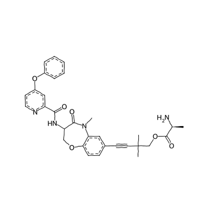 C[C@H](N)C(=O)OCC(C)(C)C#Cc1ccc2c(c1)N(C)C(=O)C(NC(=O)c1cc(Oc3ccccc3)ccn1)CO2